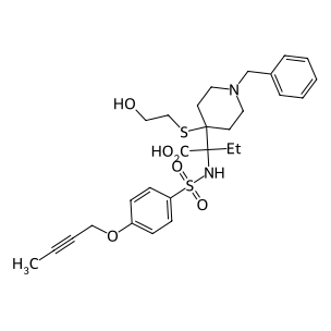 CC#CCOc1ccc(S(=O)(=O)NC(CC)(C(=O)O)C2(SCCO)CCN(Cc3ccccc3)CC2)cc1